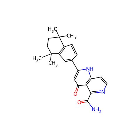 CC1(C)CCC(C)(C)c2cc(-c3cc(=O)c4c(C(N)=O)nccc4[nH]3)ccc21